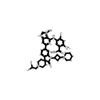 CNC(=O)c1cc(Nc2nc(-c3ccc4c(c3)N(C3CC(N5CCCCC5)C3)C(=O)C43CCN(CC(F)F)CC3)cc3ncn(C(C)C)c23)c(F)cc1C